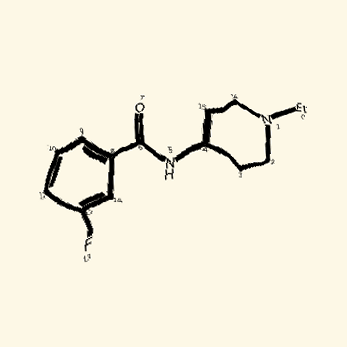 CCN1CCC(NC(=O)c2cccc(F)c2)CC1